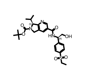 CCS(=O)(=O)c1ccc([C@H](CO)NC(=O)c2cnc3c(c2)CN(C(=O)OC(C)(C)C)[C@H]3C(C)C)cc1